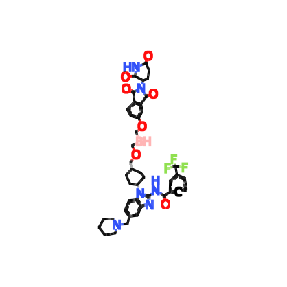 O=C1CCC(N2C(=O)c3ccc(OCBCOC[C@H]4CC[C@@H](n5c(NC(=O)c6cccc(C(F)(F)F)c6)nc6cc(CN7CCCCC7)ccc65)CC4)cc3C2=O)C(=O)N1